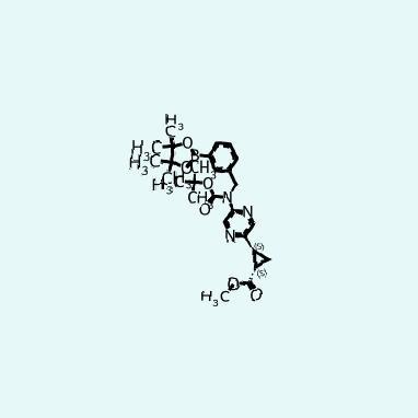 COC(=O)[C@H]1C[C@@H]1c1cnc(N(Cc2cccc(B3OC(C)(C)C(C)(C)O3)c2)C(=O)OC(C)(C)C)cn1